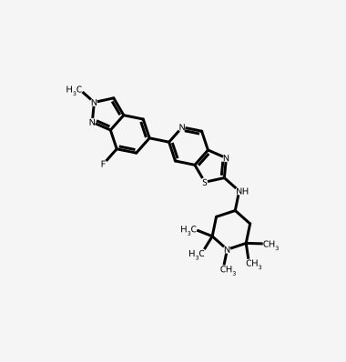 CN1C(C)(C)CC(Nc2nc3cnc(-c4cc(F)c5nn(C)cc5c4)cc3s2)CC1(C)C